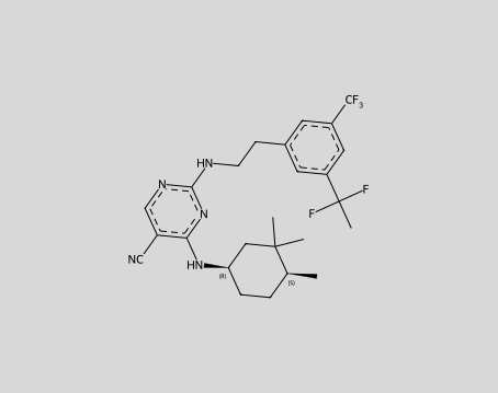 C[C@H]1CC[C@@H](Nc2nc(NCCc3cc(C(C)(F)F)cc(C(F)(F)F)c3)ncc2C#N)CC1(C)C